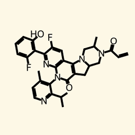 C=CC(=O)N1CC2Cc3c(c4cc(F)c(-c5c(O)cccc5F)nc4n(-c4c(C)ccnc4C(C)C)c3=O)N2CC1C